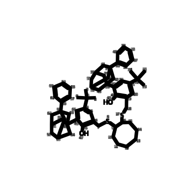 CC(C)(C)c1cc(CSC2CCCCCCC2SCc2cc(C(C)(C)C)cc(C34CC5CC(CC(c6ccccc6)(C5)C3)C4)c2O)c(O)c(C23CC4CC(CC(c5ccccc5)(C4)C2)C3)c1